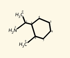 CC(N)C1CCCCC1C